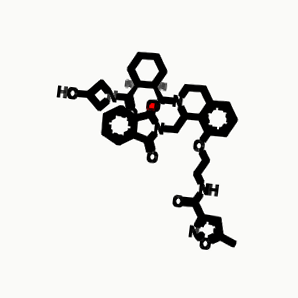 Cc1cc(C(=O)NCCOc2cccc3c2C(CN2C(=O)c4ccccc4C2=O)N(C(=O)[C@@H]2CCCC[C@@H]2C(=O)N2CC(O)C2)CC3)no1